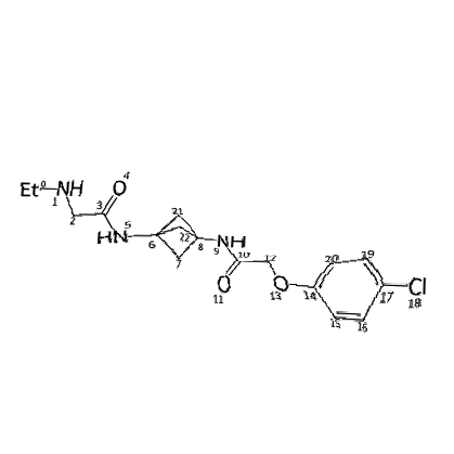 CCNCC(=O)NC12CC(NC(=O)COc3ccc(Cl)cc3)(C1)C2